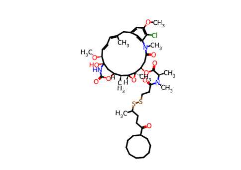 COc1cc2cc(c1Cl)N(C)C(=O)C[C@@H](OC(=O)[C@@H](C)N(C)C(=O)CCSSC(C)CCC(=O)C1CCCCCCCCC1)[C@@]1(C)O[C@@H]1[C@@H](C)[C@H]1C[C@](O)(NC(=O)O1)[C@@H](OC)/C=C/C=C(\C)C2